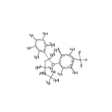 [2H]c1c([2H])c([2H])c(C([2H])(CC([2H])([2H])NC([2H])([2H])[2H])Oc2c([2H])c([2H])c(C(F)(F)F)c([2H])c2[2H])c([2H])c1[2H]